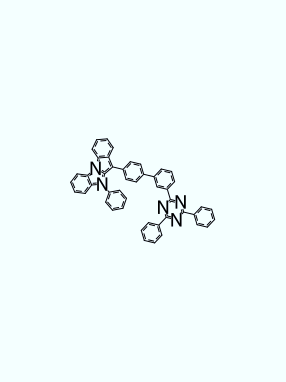 c1ccc(-c2nc(-c3ccccc3)nc(-c3cccc(-c4ccc(-c5c6ccccc6n6c7ccccc7n(-c7ccccc7)c56)cc4)c3)n2)cc1